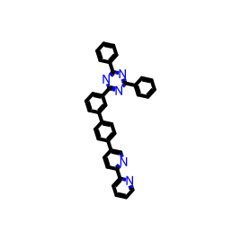 c1ccc(-c2nc(-c3ccccc3)nc(-c3cccc(-c4ccc(-c5ccc(-c6ccccn6)nc5)cc4)c3)n2)cc1